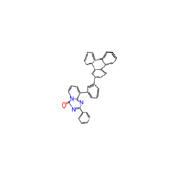 O=c1nc(-c2ccccc2)nc2c(-c3cccc(-c4ccc5c6ccccc6c6ccccc6c5c4)c3)cccn12